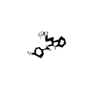 COCCC1C(=NC(=O)C2CCC(C)CC2)Nc2ccccc21